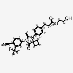 C=C1N(c2ccc(C#N)c(C(F)(F)F)c2)C(=O)C2(CCC2)N1c1ccc(CCC(=O)OCCO)cc1